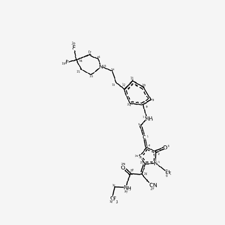 CCn1c(=O)c(=C=CNc2cccc(CCN3CCC(F)(F)CC3)c2)s/c1=C(/C#N)C(=O)NCC(F)(F)F